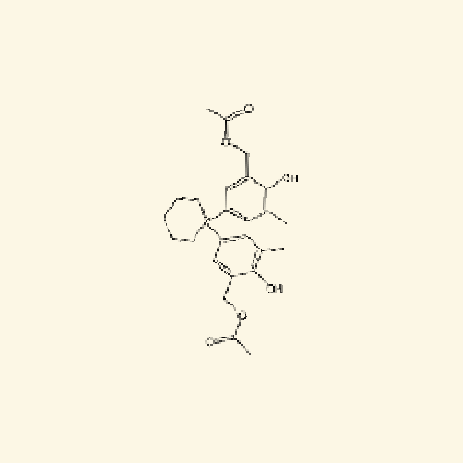 CC(=O)OCc1cc(C2(c3cc(C)c(O)c(COC(C)=O)c3)CCCCC2)cc(C)c1O